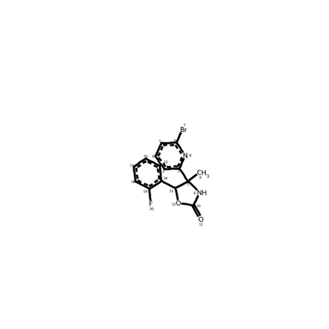 CC1(c2cccc(Br)n2)NC(=O)OC1c1ccccc1F